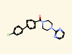 O=C(c1ccc(-c2ccc(Cl)cc2)cc1)N1CCN(c2ncccn2)CC1